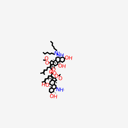 CCCCCC[N+](CCCCCC)NC1C[C@@]2(C)C([C@H](O)C[C@@H]3C(=C(CCC=C(C)C)C(=O)OC(=O)C(CCC=C(C)C)=C4[C@@H](OC(C)=O)C[C@@]5(C)[C@@H]4C[C@@H](O)C4[C@@]6(C)CC[C@@H](O)[C@@H](C)C6C([NH])C[C@@]45C)[C@@H](OC(C)=O)C[C@@]32C)[C@@]2(C)CC[C@@H](O)[C@@H](C)C12